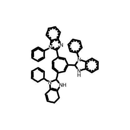 C1=C=C(n2c(C3=CC(C4Nc5ccccc5N4c4ccccc4)=CC(C4NC5=C(C=CCC5)N4C4C=CC=CC4)=C=C3)nc3ccccc32)C=CC=1